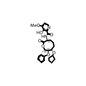 COc1ccnc(C(=O)N[C@H]2CCC[C@H](OC3CCCC3)[C@@H](Oc3ccccc3)[C@H](C)OC2=O)c1O